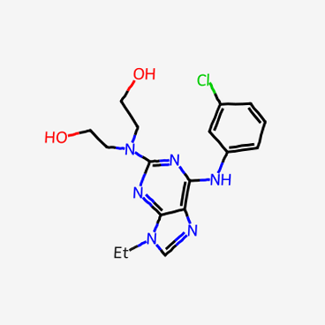 CCn1cnc2c(Nc3cccc(Cl)c3)nc(N(CCO)CCO)nc21